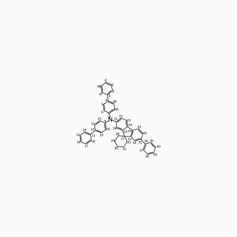 c1ccc(-c2ccc(N(c3ccc(-c4ccccc4)cc3)c3ccc4c(c3)C3(CCCCC3)c3cc(-c5ccccc5)ccc3-4)cc2)cc1